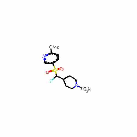 COc1ccc(S(=O)(=O)C(F)C2CCN(C(=O)O)CC2)cn1